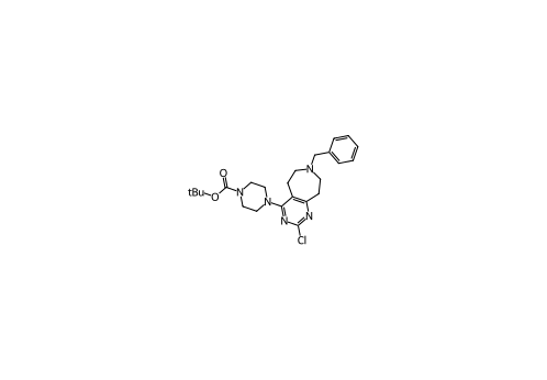 CC(C)(C)OC(=O)N1CCN(c2nc(Cl)nc3c2CCN(Cc2ccccc2)CC3)CC1